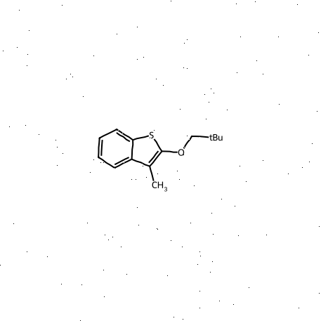 Cc1c(OCC(C)(C)C)sc2ccccc12